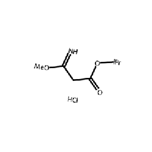 COC(=N)CC(=O)OC(C)C.Cl